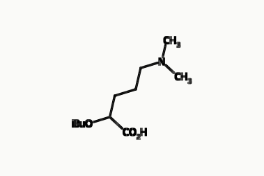 CC(C)COC(CCCN(C)C)C(=O)O